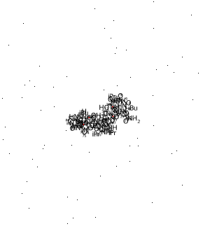 CC[C@H](C)[C@H](NC(=O)[C@H](C)NC(=O)[C@@H](NC(=O)[C@@H](N)CO)C(C)C)C(=O)N[C@@H](CCC(N)=O)C(=O)N1CCC[C@H]1C(=O)N1CCC[C@H]1C(=O)N1CCC[C@H]1C(=O)N[C@H](C(=O)N[C@H](C(=O)N[C@H](C(=O)N[C@H](C(=O)N[C@@H](CC(C)C)C(=O)N1CCC[C@H]1C(=O)NCC(=O)N1CCC[C@H]1C(=O)N[C@H](C(=O)N[C@@H](CC(C)C)C(=O)O)[C@@H](C)CC)[C@@H](C)O)C(C)C)C(C)C)C(C)C